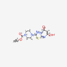 CCCCOC(=O)N1CCN(c2nn3c(=O)cc(O)nc3s2)CC1